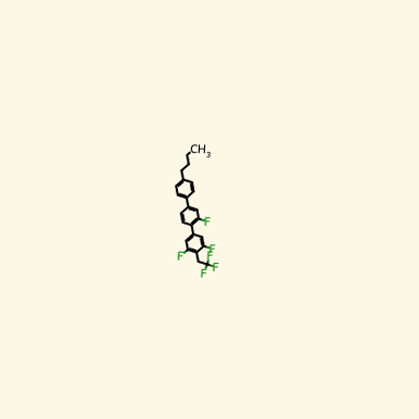 CCCCc1ccc(-c2ccc(-c3cc(F)c(CC(F)(F)F)c(F)c3)c(F)c2)cc1